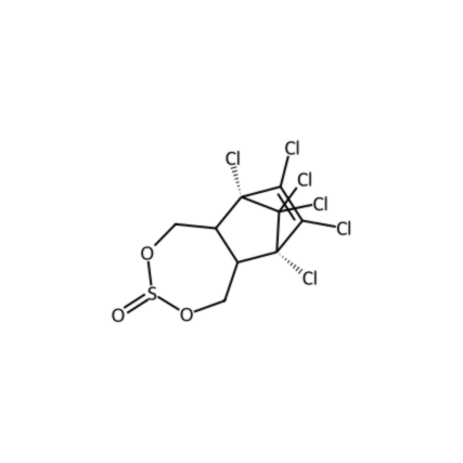 O=S1OCC2C(CO1)[C@@]1(Cl)C(Cl)=C(Cl)[C@]2(Cl)C1(Cl)Cl